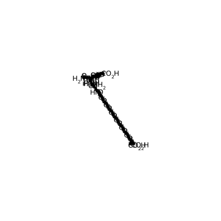 CC(C)C(NC(=O)[C@@H](N)CCCCNC(=O)CCOCCOCCOCCOCCOCCOCCOCCOCCOCCOCCOCCOCCN(CC(=O)O)CC(=O)O)C(=O)N[C@@H](CCCNC(N)=O)C(=O)Nc1ccc(COC(=O)O)cc1